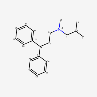 CC(C)CN(C)CCC(c1ccccc1)c1ccccc1